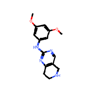 COc1cc(Nc2ncc3c(n2)CCNC3)cc(OC)c1